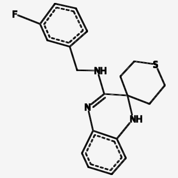 Fc1cccc(CNC2=Nc3ccccc3NC23CCSCC3)c1